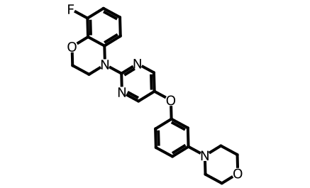 Fc1cccc2c1OCCN2c1ncc(Oc2cccc(N3CCOCC3)c2)cn1